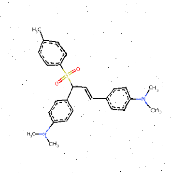 Cc1ccc(S(=O)(=O)C(C=Cc2ccc(N(C)C)cc2)c2ccc(N(C)C)cc2)cc1